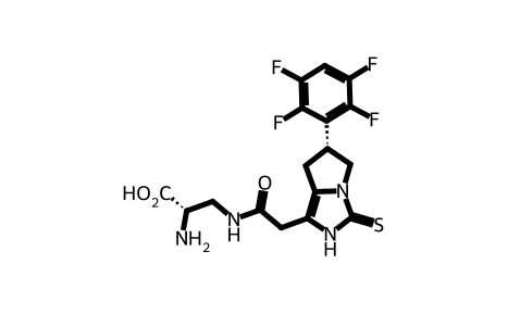 N[C@@H](CNC(=O)Cc1[nH]c(=S)n2c1C[C@H](c1c(F)c(F)cc(F)c1F)C2)C(=O)O